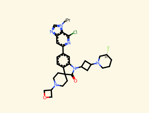 CC(C)n1cnc2cc(-c3ccc4c(c3)N(C3CC(N5CCC[C@@H](F)C5)C3)C(=O)C43CCN(C4COC4)CC3)nc(Cl)c21